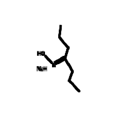 CCCC(CCC)=NO.[NaH]